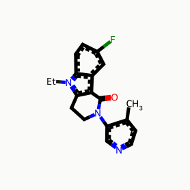 CCn1c2c(c3cc(F)ccc31)C(=O)N(c1cnccc1C)CC2